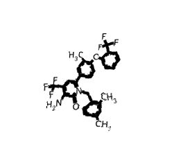 Cc1ccc(Cn2c(-c3ccc(Oc4ccccc4C(F)(F)F)c(C)c3)cc(C(F)(F)F)c(N)c2=O)c(C)c1